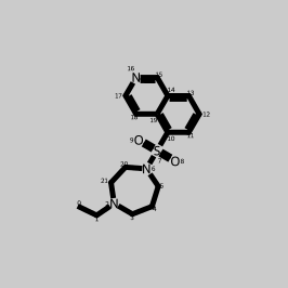 CCN1CCCN(S(=O)(=O)c2cccc3cnccc23)CC1